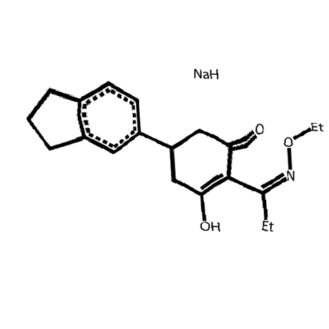 CCO/N=C(/CC)C1=C(O)CC(c2ccc3c(c2)CCC3)CC1=O.[NaH]